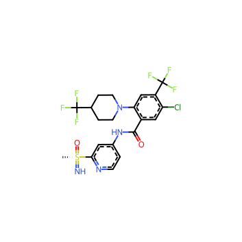 C[S@](=N)(=O)c1cc(NC(=O)c2cc(Cl)c(C(F)(F)F)cc2N2CCC(C(F)(F)F)CC2)ccn1